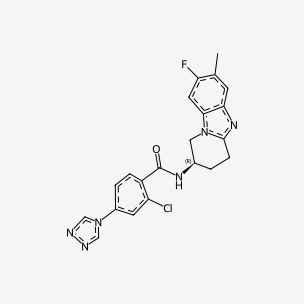 Cc1cc2nc3n(c2cc1F)C[C@H](NC(=O)c1ccc(-n2cnnc2)cc1Cl)CC3